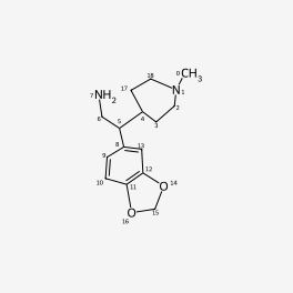 CN1CCC(C(CN)c2ccc3c(c2)OCO3)CC1